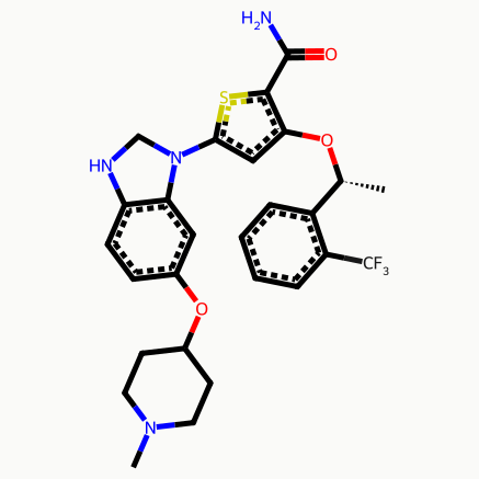 C[C@@H](Oc1cc(N2CNc3ccc(OC4CCN(C)CC4)cc32)sc1C(N)=O)c1ccccc1C(F)(F)F